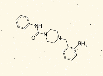 Bc1ccccc1CN1CCN(C(=O)Nc2ccccc2)CC1